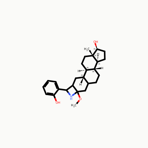 COC12CC3CC[C@@H]4[C@H](CC[C@]5(C)[C@@H](O)CC[C@@H]45)[C@H]3CC1C(c1ccccc1O)N2